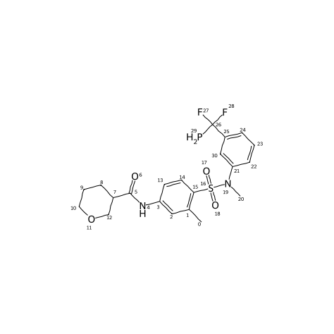 Cc1cc(NC(=O)C2CCCOC2)ccc1S(=O)(=O)N(C)c1cccc(C(F)(F)P)c1